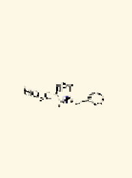 CCCC(C(=O)O)/C(C)=N/Cc1ccccc1